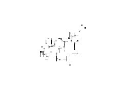 CC1(c2ccc(-n3nc(C4CC4)cc3C3CC3)c(F)c2)N=NSC1C(N)=O